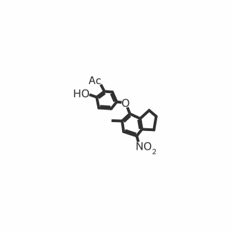 CC(=O)c1cc(Oc2c(C)cc([N+](=O)[O-])c3c2CCC3)ccc1O